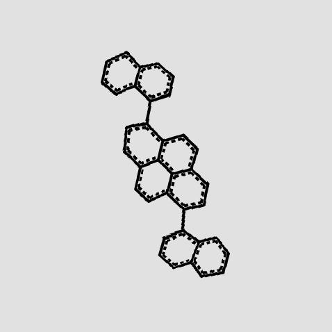 c1ccc2c(-c3ccc4ccc5c(-c6cccc7ccccc67)ccc6ccc3c4c65)cccc2c1